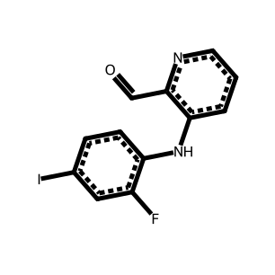 O=Cc1ncccc1Nc1ccc(I)cc1F